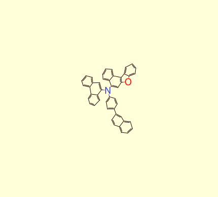 c1ccc2cc(-c3ccc(N(c4cc5ccccc5c5ccccc45)c4cc5oc6ccccc6c5c5ccccc45)cc3)ccc2c1